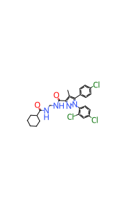 Cc1c(C(=O)NCNC(=O)C2CCCCC2)nn(-c2ccc(Cl)cc2Cl)c1-c1ccc(Cl)cc1